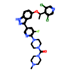 CC(Oc1ccc2[nH]nc(-c3cnc(N4CCN(C(=O)N5CCN(C)CC5)CC4)c(F)c3)c2c1)c1c(Cl)cncc1Cl